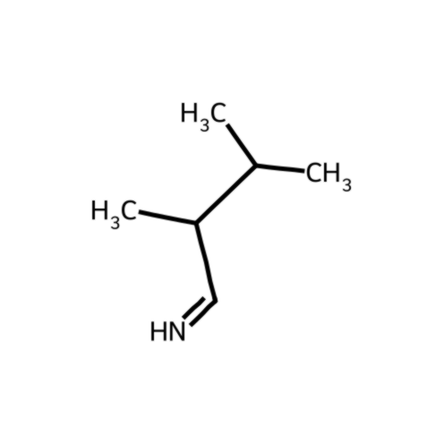 CC(C)C(C)C=N